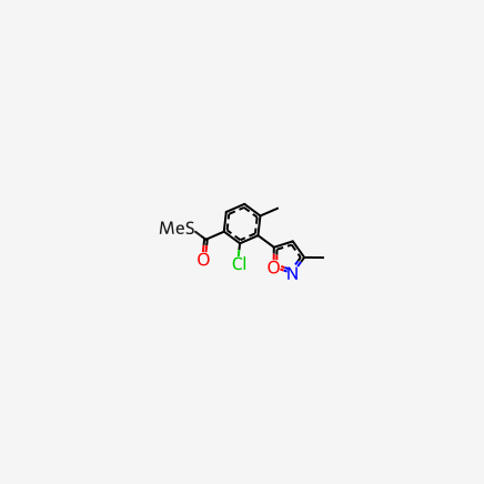 CSC(=O)c1ccc(C)c(-c2cc(C)no2)c1Cl